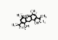 Cc1cc(C(C)C)c(O)c(Cc2c(C)c(C)cc(C(C)C)c2O)c1C